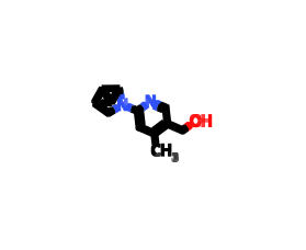 Cc1cc(N2CC3C4C3C42)ncc1CO